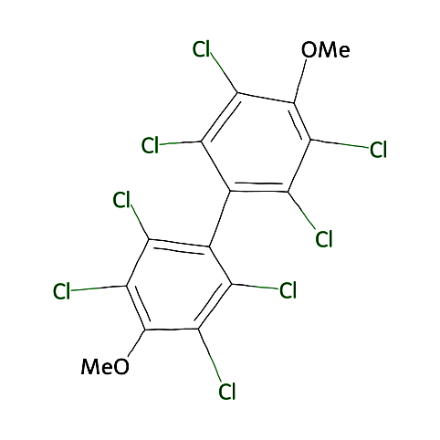 COc1c(Cl)c(Cl)c(-c2c(Cl)c(Cl)c(OC)c(Cl)c2Cl)c(Cl)c1Cl